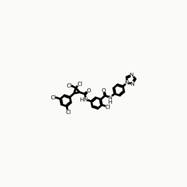 O=C(Nc1ccc(-n2cncn2)cc1)c1cc(NC(=O)C2C(c3cc(Cl)cc(Cl)c3)C2(Cl)Cl)ccc1Cl